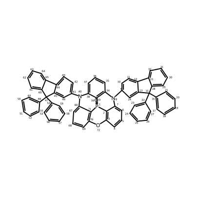 O=P12c3c4cccc3N(c3ccc5c(c3)C(c3ccccc3)(c3ccccc3)c3ccccc3-5)c3cccc(c31)N(c1ccc3c(c1)C(c1ccccc1)(c1ccccc1)c1ccccc1-3)c1cccc(c12)O4